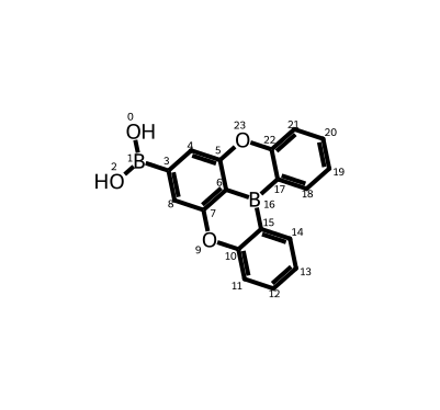 OB(O)c1cc2c3c(c1)Oc1ccccc1B3c1ccccc1O2